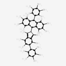 BC1=c2c(B)c(B)c(-c3c(B)c(B)c(B)c(B)c3B)c(B)c2=C(B)C1c1c2c(B)c(B)c(B)c(B)c2c(-c2c(B)c(B)c(B)c(B)c2B)c2c(B)c(B)c(B)c(B)c12